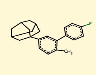 Cc1ccc(C23CC4CC(CC(C4)C2)C3)cc1-c1ccc(F)cc1